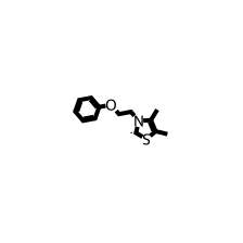 CC1=C(C)N(CCOc2ccccc2)[CH]S1